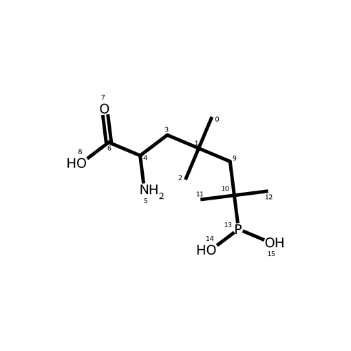 CC(C)(CC(N)C(=O)O)CC(C)(C)P(O)O